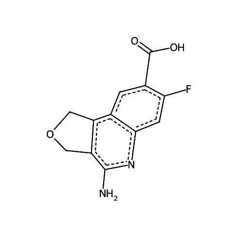 Nc1nc2cc(F)c(C(=O)O)cc2c2c1COC2